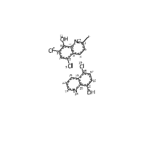 Cc1ccc2c(Cl)cc(Cl)c(O)c2n1.Oc1ccc(Cl)c2cccnc12